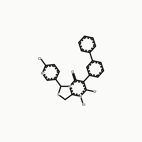 CCn1c([O-])c(-c2cccc(-c3ccccc3)c2)c(=O)[n+]2c1CSC2c1ccc(Cl)nc1